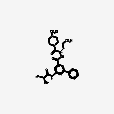 CCCC(CCC)C(=O)Nc1cc(C(=O)N[C@@H](CCC(=O)O)C(=O)N2CCN(C(=O)OCC)CC2)nc(-c2ccccc2)n1